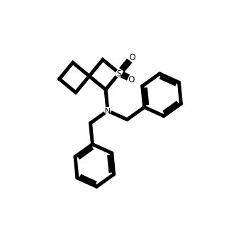 O=S1(=O)CC2(CCC2)C1N(Cc1ccccc1)Cc1ccccc1